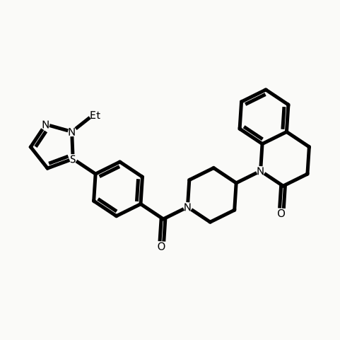 CCN1N=CC=S1c1ccc(C(=O)N2CCC(N3C(=O)CCc4ccccc43)CC2)cc1